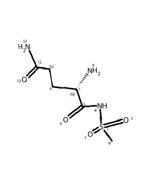 CS(=O)(=O)NC(=O)[C@@H](N)CCC(N)=O